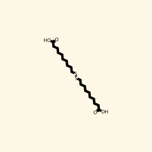 O=C(O)CCCCCCCCCSSCCCCCCCCCC(=O)O